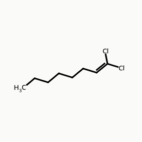 CCCCCCC=C(Cl)Cl